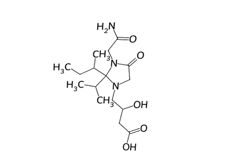 CCC(C)C1(C(C)C)N(CC(O)CC(=O)O)CC(=O)N1CC(N)=O